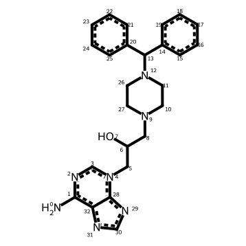 Nc1ncn(CC(O)CN2CCN(C(c3ccccc3)c3ccccc3)CC2)c2ncnc1-2